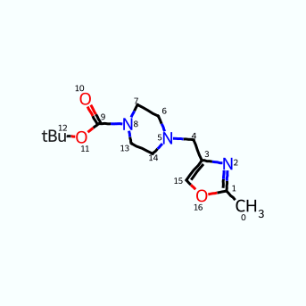 Cc1nc(CN2CCN(C(=O)OC(C)(C)C)CC2)co1